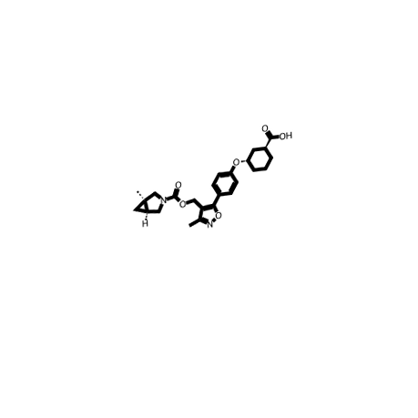 Cc1noc(-c2ccc(O[C@H]3CCC[C@H](C(=O)O)C3)cc2)c1COC(=O)N1C[C@H]2C[C@@]2(C)C1